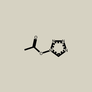 CC(=O)On1cnnn1